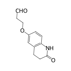 O=CCCOc1ccc2c(c1)CCC(=O)N2